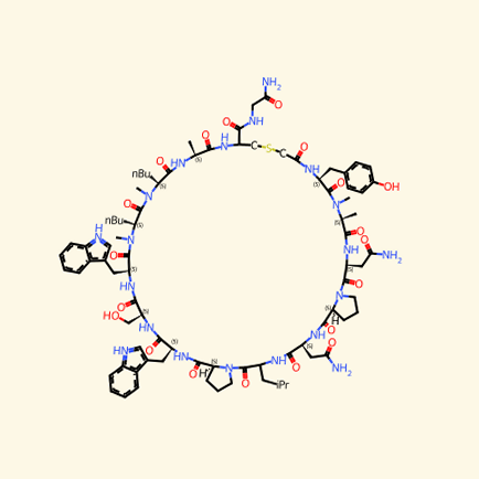 CCCC[C@H]1C(=O)N(C)[C@@H](CCCC)C(=O)N[C@@H](C)C(=O)NC(C(=O)NCC(N)=O)CSCC(=O)N[C@@H](Cc2ccc(O)cc2)C(=O)N(C)[C@@H](C)C(=O)N[C@@H](CC(N)=O)C(=O)N2CCC[C@H]2C(=O)N[C@@H](CC(N)=O)C(=O)NC(CC(C)C)C(=O)N2CCC[C@H]2C(=O)N[C@@H](Cc2c[nH]c3ccccc23)C(=O)N[C@@H](CO)C(=O)N[C@@H](Cc2c[nH]c3ccccc23)C(=O)N1C